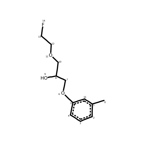 Cc1cccc(OCC(O)COCCF)c1